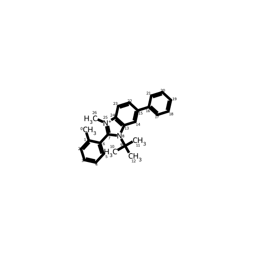 Cc1ccccc1-c1n(C(C)(C)C)c2cc(-c3ccccc3)ccc2[n+]1C